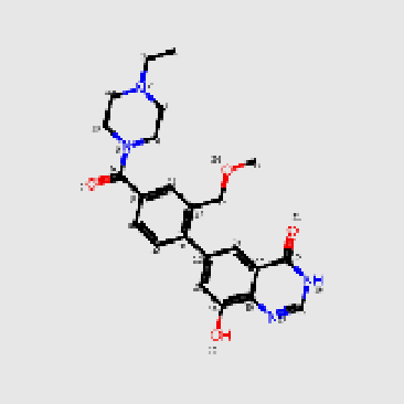 CCN1CCN(C(=O)c2ccc(-c3cc(O)c4nc[nH]c(=O)c4c3)c(COC)c2)CC1